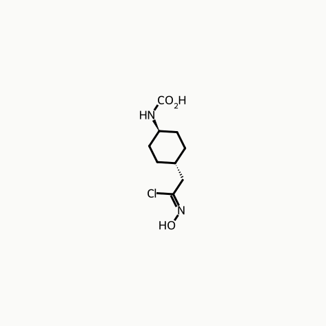 O=C(O)N[C@H]1CC[C@H](C/C(Cl)=N/O)CC1